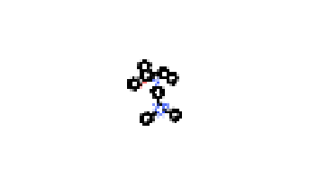 c1ccc(-c2nc(-c3ccccc3)nc(-c3ccc(-n4c5c6ccccc6ccc5c5c6ccccc6c6c7ccccc7oc6c54)cc3)n2)cc1